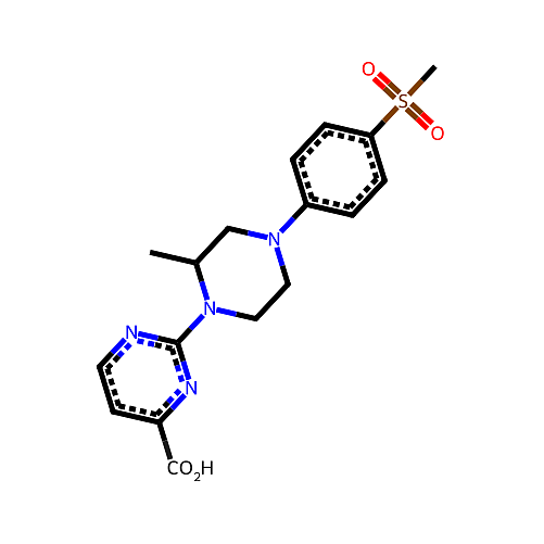 CC1CN(c2ccc(S(C)(=O)=O)cc2)CCN1c1nccc(C(=O)O)n1